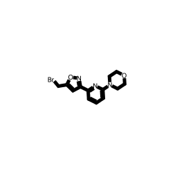 BrCc1cc(-c2cccc(N3CCOCC3)n2)no1